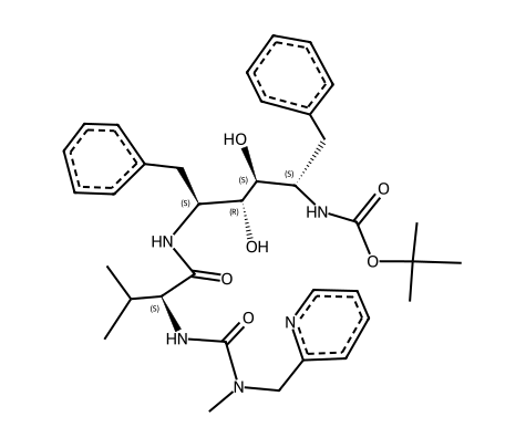 CC(C)[C@H](NC(=O)N(C)Cc1ccccn1)C(=O)N[C@@H](Cc1ccccc1)[C@@H](O)[C@@H](O)[C@H](Cc1ccccc1)NC(=O)OC(C)(C)C